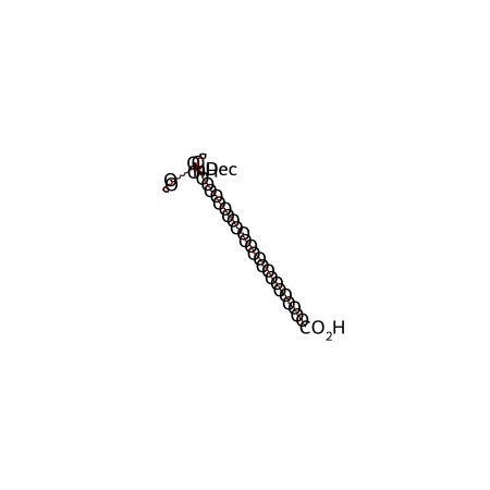 CCCCCCCCCCC[C@](C/C=C/CCCCCCCC(=O)OCc1ccccc1)(C(=O)NCCOCCOCCOCCOCCOCCOCCOCCOCCOCCOCCOCCOCCOCCOCCOCCOCCOCCOCCOCCOCCOCCOCCOCCOCCC(=O)O)C(=O)OCc1ccccc1